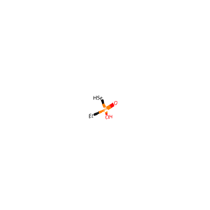 CCP(=O)(O)[SeH]